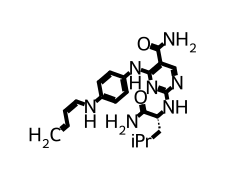 C=C/C=C\Nc1ccc(Nc2nc(N[C@H](CC(C)C)C(N)=O)ncc2C(N)=O)cc1